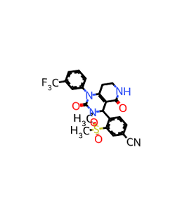 CN1C(=O)N(c2cccc(C(F)(F)F)c2)C2=C(C(=O)NCC2)C1c1ccc(C#N)cc1S(C)(=O)=O